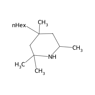 CCCCCCC1(C)CC(C)NC(C)(C)C1